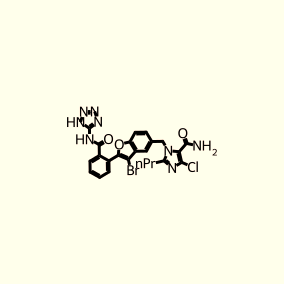 CCCc1nc(Cl)c(C(N)=O)n1Cc1ccc2oc(-c3ccccc3C(=O)Nc3nnn[nH]3)c(Br)c2c1